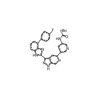 CCCCC(=O)Nc1cncc(-c2cc3c(-c4nc5c(-c6ccc(F)cc6)cccc5[nH]4)n[nH]c3cn2)c1